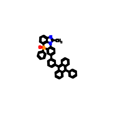 Cc1nc2cccc3c2n1-c1ccc(-c2cccc(-c4c5ccccc5c(-c5ccccc5)c5ccccc45)c2)cc1P3(=O)c1ccccc1